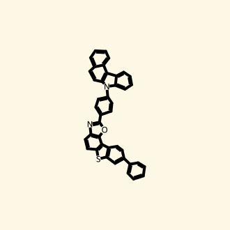 c1ccc(-c2ccc3c(c2)sc2ccc4nc(-c5ccc(-n6c7ccccc7c7c8ccccc8ccc76)cc5)oc4c23)cc1